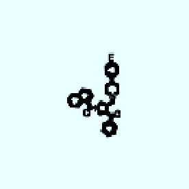 O=C(c1ccccc1)C1CN(C(=O)c2cccc3ccccc23)CC1CN1CCC(c2ccc(F)cc2)CC1